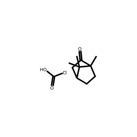 CC12CCC(CC1=O)C2(C)C.O=C(O)Cl